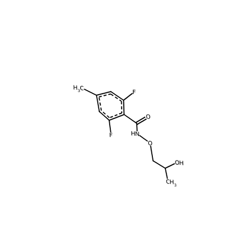 Cc1cc(F)c(C(=O)NOCC(C)O)c(F)c1